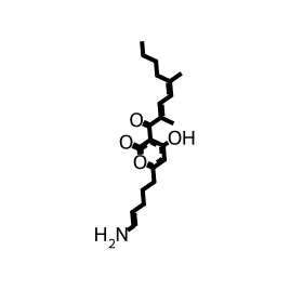 CCCC/C(C)=C\C=C(/C)C(=O)c1c(O)cc(CCC/C=C/N)oc1=O